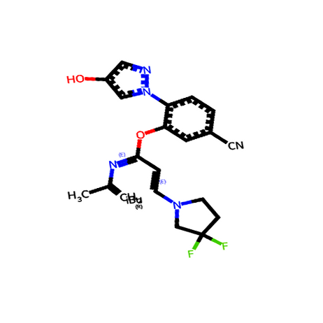 C=C(C)/N=C(\C=C(/[C@H](C)CC)N1CCC(F)(F)C1)Oc1cc(C#N)ccc1-n1cc(O)cn1